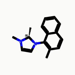 Cc1ccc2ccccc2c1N1C=CN(C)[C@@H]1C